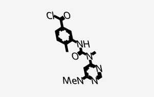 CNc1cc(N(C)C(=O)Nc2cc(C(=O)Cl)ccc2C)ncn1